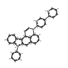 C1=CN(c2ccc(-c3ccccn3)cn2)c2cccc3cc4c(c1c23)c1ccccc1n4-c1ccccc1